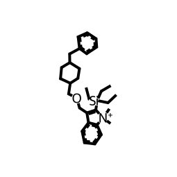 CC[Si](CC)(CC)C1=C(COCC2CCC(Cc3ccccc3)CC2)c2ccccc2[N+]1(C)C